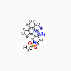 CS(=O)(=O)N1CCC(Nc2ncc3cccc(C4CCCC4)c3n2)CC1